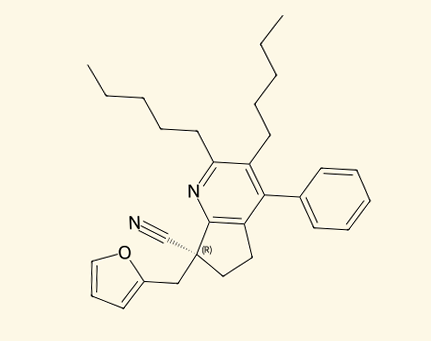 CCCCCc1nc2c(c(-c3ccccc3)c1CCCCC)CC[C@@]2(C#N)Cc1ccco1